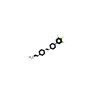 C=CC[C@H]1CC[C@H](CC[C@H]2CC[C@H](c3cc(F)c(F)c(F)c3)CC2)CC1